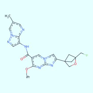 Cc1cnc2c(NC(=O)c3cn4cc(C56COC(CF)(C5)C6)nc4nc3OC(C)C)cnn2c1